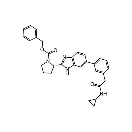 O=C(Cc1cccc(-c2ccc3nc([C@@H]4CCCN4C(=O)OCc4ccccc4)[nH]c3c2)c1)NC1CC1